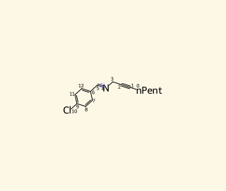 CCCCCC#CC/N=C/c1ccc(Cl)cc1